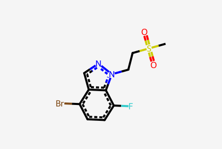 CS(=O)(=O)CCn1ncc2c(Br)ccc(F)c21